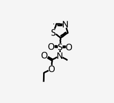 CCOC(=O)N(C)S(=O)(=O)c1cn[c]s1